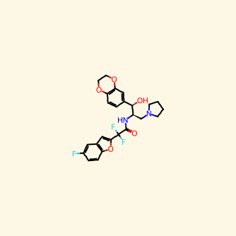 O=C(N[C@H](CN1CCCC1)[C@H](O)c1ccc2c(c1)OCCO2)C(F)(F)c1cc2cc(F)ccc2o1